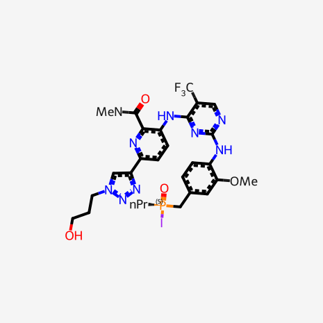 CCC[P@](=O)(I)Cc1ccc(Nc2ncc(C(F)(F)F)c(Nc3ccc(-c4cn(CCCO)nn4)nc3C(=O)NC)n2)c(OC)c1